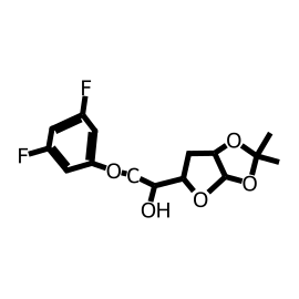 CC1(C)OC2CC(C(O)COc3cc(F)cc(F)c3)OC2O1